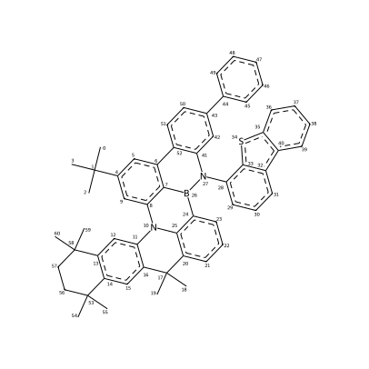 CC(C)(C)c1cc2c3c(c1)N1c4cc5c(cc4C(C)(C)c4cccc(c41)B3N(c1cccc3c1sc1ccccc13)c1cc(-c3ccccc3)ccc1-2)C(C)(C)CCC5(C)C